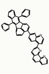 c1ccc(-c2c3c(c(-c4ccccc4)c4ccccc24)-c2ccc(-c4ccc5c(-c6ccc7ccc8cccnc8c7n6)ccnc5c4)c4cccc-3c24)cc1